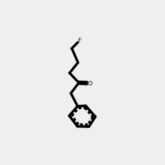 O=C(CC[CH]F)Cc1ccccc1